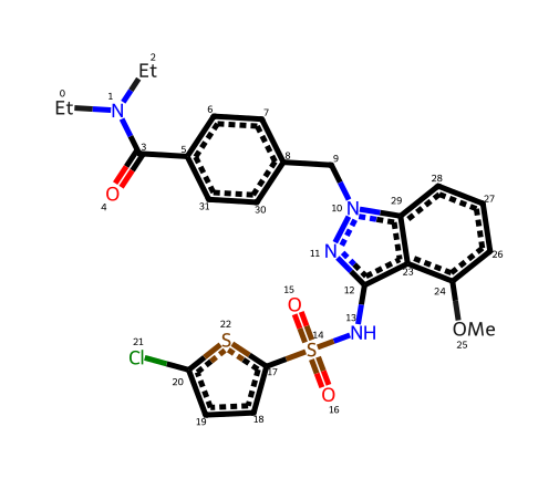 CCN(CC)C(=O)c1ccc(Cn2nc(NS(=O)(=O)c3ccc(Cl)s3)c3c(OC)cccc32)cc1